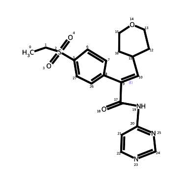 CCS(=O)(=O)c1ccc(/C(=C\C2CCOCC2)C(=O)Nc2ccncn2)cc1